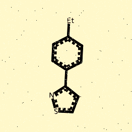 CCc1ccc(-c2[c]csn2)cc1